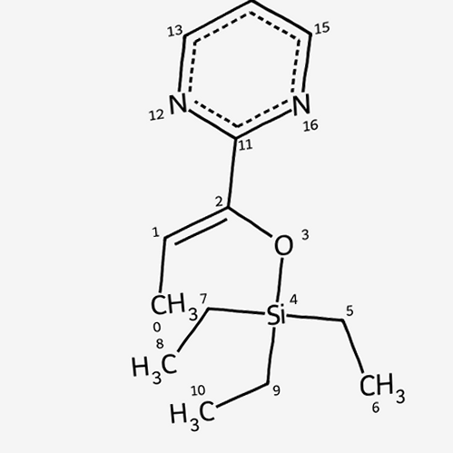 C/C=C(\O[Si](CC)(CC)CC)c1ncccn1